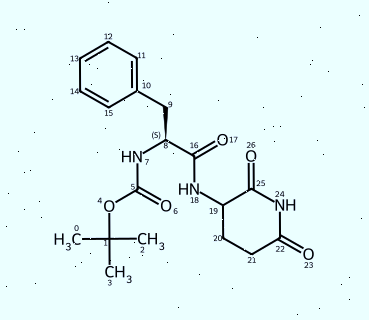 CC(C)(C)OC(=O)N[C@@H](Cc1ccccc1)C(=O)NC1CCC(=O)NC1=O